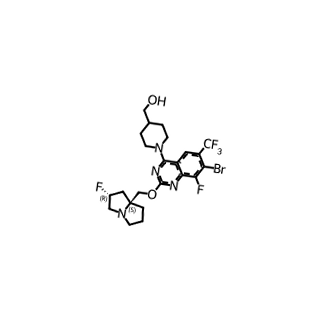 OCC1CCN(c2nc(OC[C@@]34CCCN3C[C@H](F)C4)nc3c(F)c(Br)c(C(F)(F)F)cc23)CC1